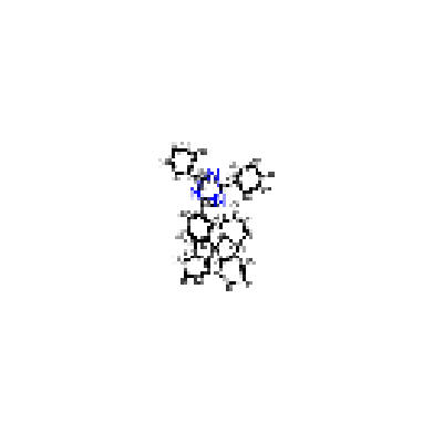 CC1C=CC2C3=C(CCC=C3)C3(c4ccccc4-c4ccc(-c5nc(-c6ccccc6)nc(-c6ccccc6)n5)cc43)C2C1